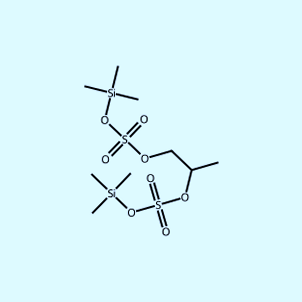 CC(COS(=O)(=O)O[Si](C)(C)C)OS(=O)(=O)O[Si](C)(C)C